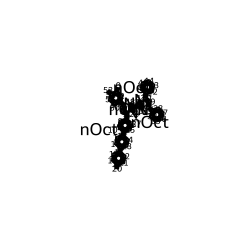 CCCCCCCCc1cc(-c2cc(-c3cc(CCCCCCCC)c(-c4ccc(-c5ccc(C)cc5)cc4)cc3CCCCCCCC)nc(-c3nc(-c4ccccc4)cc(-c4ccccc4)n3)n2)c(CCCCCCCC)cc1C